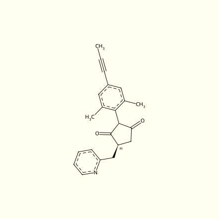 CC#Cc1cc(C)c(C2C(=O)C[C@@H](Cc3ccccn3)C2=O)c(C)c1